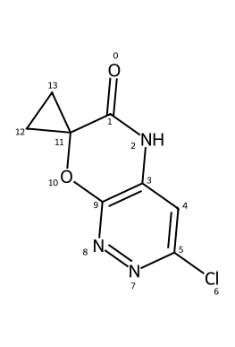 O=C1Nc2cc(Cl)nnc2OC12CC2